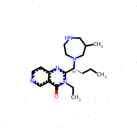 CCC[C@H](c1nc2ccncc2c(=O)n1CC)N1CCNCC(C)C1